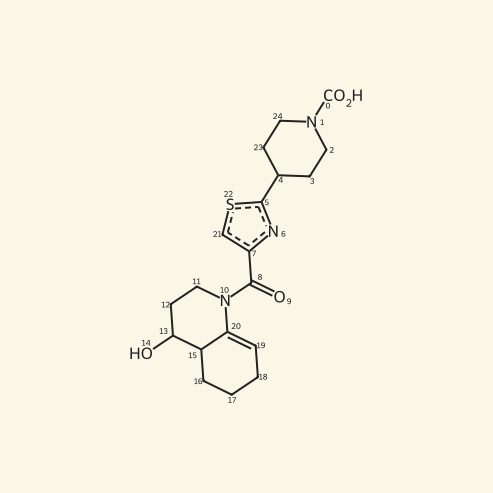 O=C(O)N1CCC(c2nc(C(=O)N3CCC(O)C4CCCC=C43)cs2)CC1